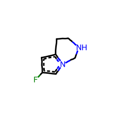 Fc1cc2n(c1)CNCC2